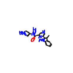 Cc1c(-c2cncc(C(=O)NC3CNC3)n2)[nH]c2ccccc12